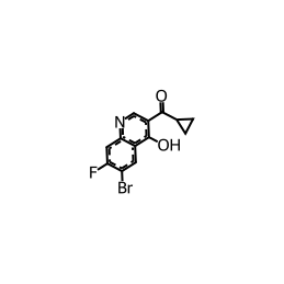 O=C(c1cnc2cc(F)c(Br)cc2c1O)C1CC1